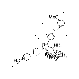 CC(=O)O.CC(=O)O.CC(=O)O.COc1cccc(CNc2ccc(-c3nn([C@H]4CC[C@@H](N5CCN(C)CC5)CC4)c4ncnc(N)c34)cc2)c1